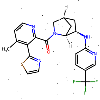 Cc1ccnc(C(=O)N2C[C@H]3C[C@@H](Nc4ccc(C(F)(F)F)cn4)[C@@H]2C3)c1-c1nccs1